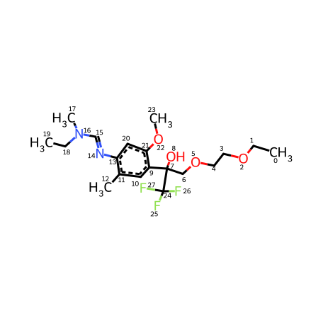 CCOCCOCC(O)(c1cc(C)c(/N=C/N(C)CC)cc1OC)C(F)(F)F